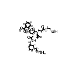 CCOC(=O)CCN(C(=O)[C@H](CC(=O)NC[C@@H]1CCCN(C=NN)C1)NS(=O)(=O)c1ccccc1C(=O)OC)C1CC1.Cl